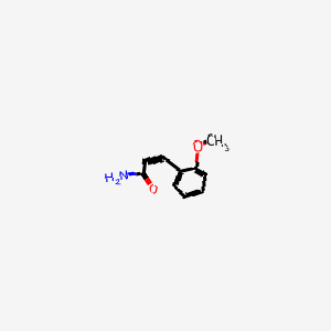 COc1ccccc1/C=C\C(N)=O